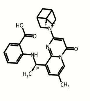 Cc1cc([C@@H](C)Nc2ccccc2C(=O)O)c2nc(N3CC4CC(C3)C4(F)F)cc(=O)n2c1